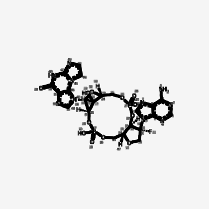 Nc1ncnc2c1ncn2[C@@]1(F)CO[C@@H]2COP(=O)(O)O[C@@H]3[C@H](O)[C@@H](COP(=O)(O)O[C@H]21)O[C@H]3n1cnc2c(=O)[nH]c3nccn3c21